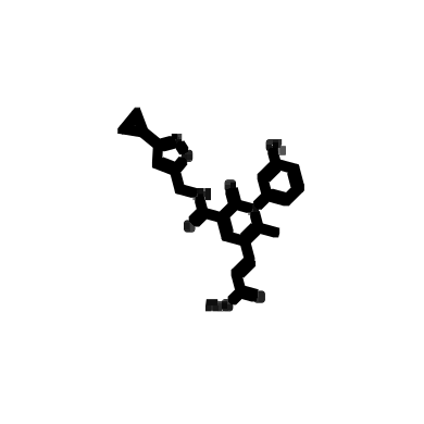 COC(=O)C=Cc1cc(C(=O)NCc2cc(C3CC3)no2)c(=O)n(-c2cccc(C(F)(F)F)c2)c1C